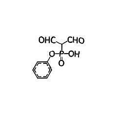 O=CC(C=O)P(=O)(O)Oc1ccccc1